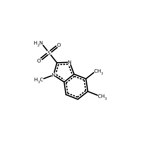 Cc1ccc2c(nc(S(N)(=O)=O)n2C)c1C